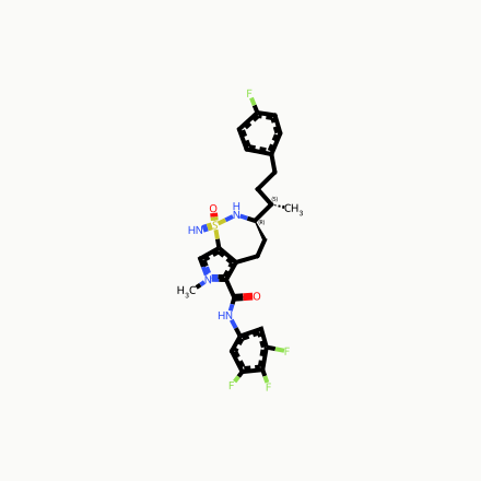 C[C@@H](CCc1ccc(F)cc1)[C@H]1CCc2c(cn(C)c2C(=O)Nc2cc(F)c(F)c(F)c2)S(=N)(=O)N1